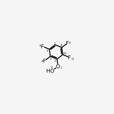 OOc1c(F)c(F)cc(F)c1F